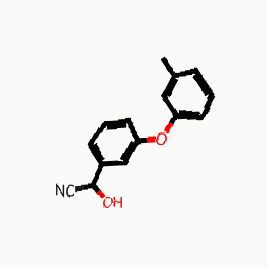 Cc1cccc(Oc2cccc(C(O)C#N)c2)c1